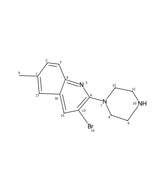 Cc1ccc2nc(N3CCNCC3)c(Br)cc2c1